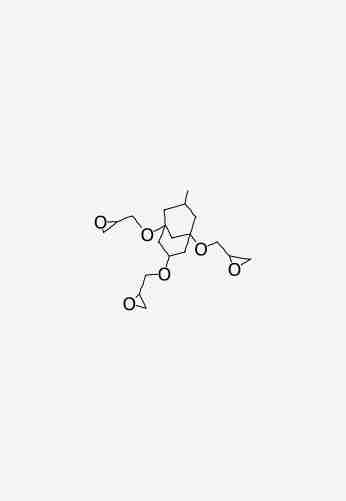 CC1CC2(OCC3CO3)CC(OCC3CO3)CC(OCC3CO3)(C1)C2